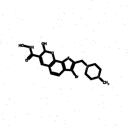 CN1CCN(Cc2sc3c4c(ccc3c2Br)C=C(C(=O)NO)C(O)O4)CC1